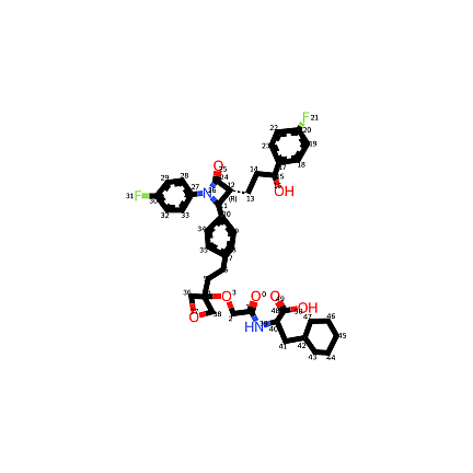 O=C(COC1(CCc2ccc(C3[C@@H](CCC(O)c4ccc(F)cc4)C(=O)N3c3ccc(F)cc3)cc2)COC1)NC(CC1CCCCC1)C(=O)O